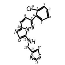 Clc1ccccc1-c1ccc2ncc(NCc3cscn3)n2n1